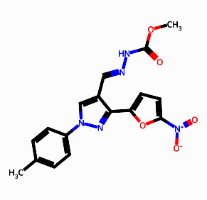 COC(=O)NN=Cc1cn(-c2ccc(C)cc2)nc1-c1ccc([N+](=O)[O-])o1